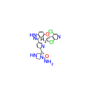 C[C@@H](Oc1ccc2[nH]nc(-c3ccc(C4CC45CNCCN5C(N)=O)nc3)c2c1)c1c(Cl)cncc1Cl